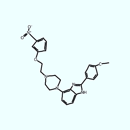 CCc1ccc(-c2nc3c(N4CCN(CCOc5cccc([N+](=O)[O-])c5)CC4)cccc3[nH]2)cc1